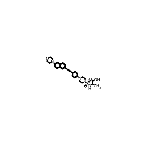 C[C@@H](NS(=O)(=O)N1CCN(c2ccc(C#Cc3ccc4cc(N5CCOCC5)ccc4c3)cc2)CC1)C(=O)O